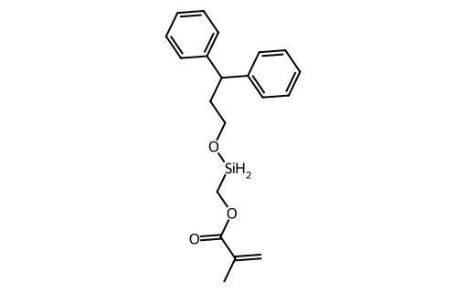 C=C(C)C(=O)OC[SiH2]OCCC(c1ccccc1)c1ccccc1